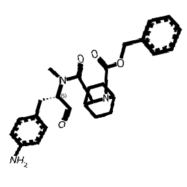 CN(C(=O)C1C2CCC(CC2)N1C(=O)OCc1ccccc1)[C@H](C=O)Cc1ccc(N)cc1